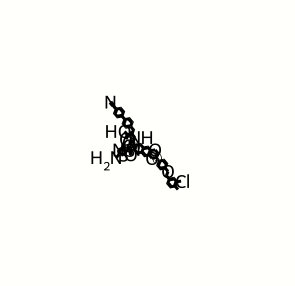 Cc1ccc(COc2ccc([C@H]3COc4cc5c(cc4O3)CN(S(=O)(=O)c3sc(N)nc3C)[C@H](C(=O)NC(Cc3ccc(-c4ccc(C#N)cc4)cc3)C(=O)O)C5)cc2)cc1Cl